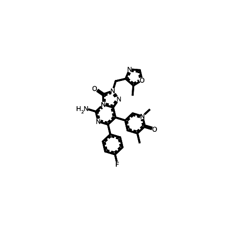 Cc1ocnc1Cn1nc2c(-c3cc(C)c(=O)n(C)c3)c(-c3ccc(F)cc3)nc(N)n2c1=O